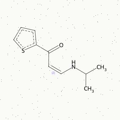 CC(C)N/C=C\C(=O)c1cccs1